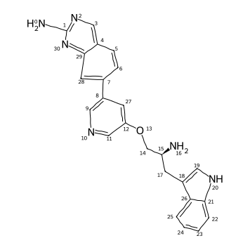 Nc1ncc2ccc(-c3cncc(OC[C@@H](N)Cc4c[nH]c5ccccc45)c3)cc2n1